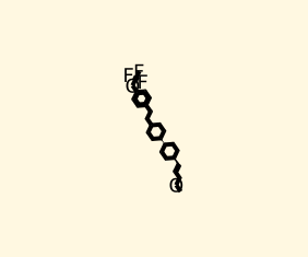 COC/C=C/[C@H]1CC[C@H](C2CCC(CCc3ccc(OC(F)(F)F)cc3)CC2)CC1